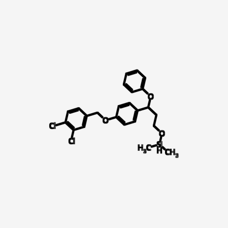 C[SiH](C)OCCC(Oc1ccccc1)c1ccc(OCc2ccc(Cl)c(Cl)c2)cc1